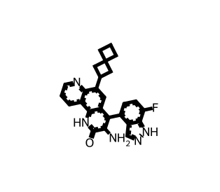 Nc1c(-c2ccc(F)c3[nH]ncc23)c2cc(C3CC4(CCC4)C3)c3ncccc3c2[nH]c1=O